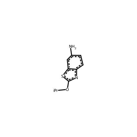 CC(C)Oc1nc2ccc(N)cc2s1